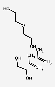 C=CC.C=CC.OCCO.OCCOCCO